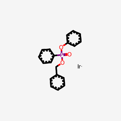 O=P(OCc1ccccc1)(Oc1ccccc1)c1ccccc1.[Ir]